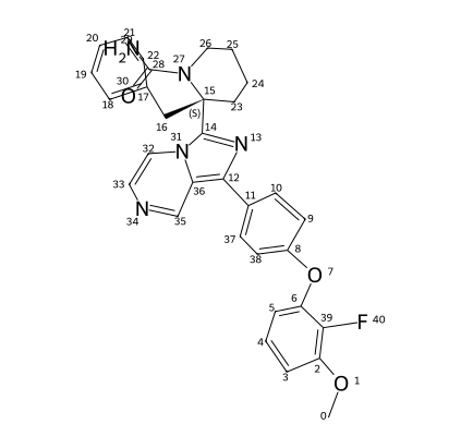 COc1cccc(Oc2ccc(-c3nc([C@@]4(Cc5ccccc5)CCCCN4C(N)=O)n4ccncc34)cc2)c1F